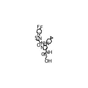 O=C(Nc1ncc(N[S+]([O-])CCO)cc1N1CCC2(CC1)CC2)c1csc(N2CCC(F)(F)CC2)n1